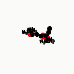 CC(C)(C)OC(=O)N1C(=O)CC[C@H]1Cc1ccc(-c2cccc(OC3C[C@@H](Cc4ccc(-c5ccccc5)cc4)N(C(=O)OC(C)(C)C)C3=O)c2)cc1